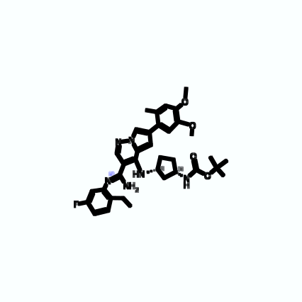 CCc1ccc(F)cc1/N=C(\N)c1cnn2cc(-c3cc(OC)c(OC)cc3C)cc2c1N[C@@H]1CC[C@H](NC(=O)OC(C)(C)C)C1